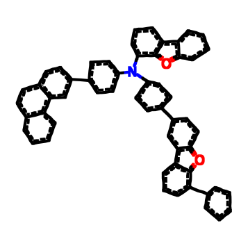 c1ccc(-c2cccc3c2oc2ccc(-c4ccc(N(c5ccc(-c6ccc7ccc8ccccc8c7c6)cc5)c5cccc6c5oc5ccccc56)cc4)cc23)cc1